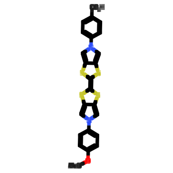 COOc1ccc(-n2cc3c(c2)SC(=C2Sc4cn(-c5ccc(C(=O)O)cc5)cc4S2)S3)cc1